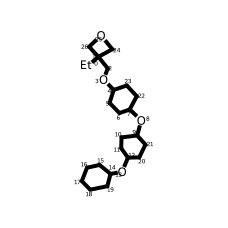 CCC1(COC2CCC(OC3CCC(OC4CCCCC4)CC3)CC2)COC1